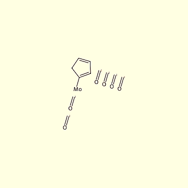 [C]=O.[C]=O.[C]=O.[C]=O.[C]=O.[C]=O.[Mo][C]1=CC=CC1